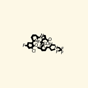 O=C(O)c1cnn(-c2cccc(-c3cc(F)cc(Cl)c3OCc3ccc(C4CCN(CC(F)(F)F)CC4)cc3)n2)c1C(F)(F)F